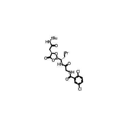 CC(C)C[C@H](NC(=O)CNC(=O)c1cc(Cl)ccc1Cl)B1OC(=O)[C@@H](CC(=O)NC(C)(C)C)O1